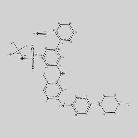 Cc1cnc(Nc2ccc(N3CCN(C)CC3)cc2)nc1Nc1cc(-c2ccccc2C#N)cc(S(=O)(=O)NC(C)(C)C)c1